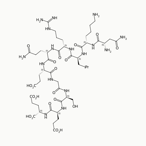 CC(C)C[C@H](NC(=O)[C@H](CCCCN)NC(=O)[C@@H](N)CC(N)=O)C(=O)N[C@@H](CCCNC(=N)N)C(=O)N[C@@H](CCC(N)=O)C(=O)N[C@@H](CCC(=O)O)C(=O)NCC(=O)N[C@@H](CO)C(=O)N[C@@H](CCC(=O)O)C(=O)N[C@@H](CCC(=O)O)C(=O)O